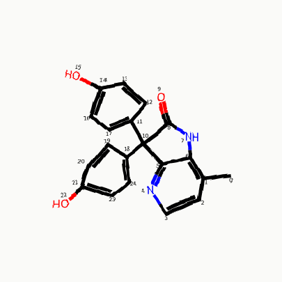 Cc1ccnc2c1NC(=O)C2(c1ccc(O)cc1)c1ccc(O)cc1